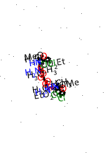 CCOC(=O)C1=C(COC(N)C(C)(C)OC(=O)/C=C/C(=O)OC(C)(C)C(N)OCC2=C(C(=O)OCC)C(c3cccc(Cl)c3Cl)C(C(=O)OC)=C(C)N2)NC(C)=C(C(=O)OC)C1c1cccc(Cl)c1Cl